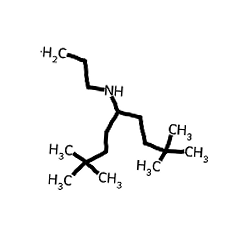 [CH2]CCNC(CCC(C)(C)C)CCC(C)(C)C